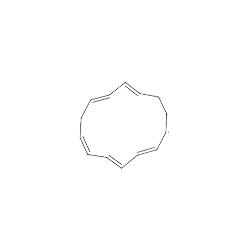 [CH]1/C=C/C=C/C=C\C/C=C/C=C/CC1